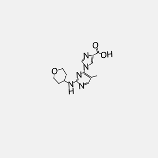 Cc1cnc(NC2CCOCC2)nc1-n1cnc(C(=O)O)c1